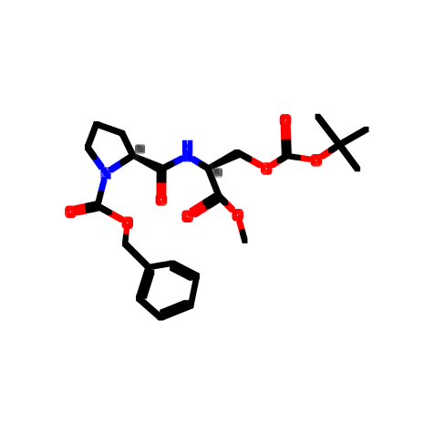 COC(=O)[C@H](COC(=O)OC(C)(C)C)NC(=O)[C@@H]1CCCN1C(=O)OCc1ccccc1